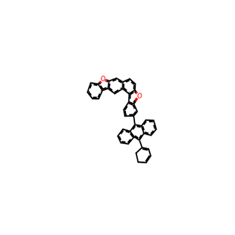 C1=CCCC(c2c3ccccc3c(-c3ccc4c(c3)oc3ccc5cc6oc7ccccc7c6cc5c34)c3ccccc23)=C1